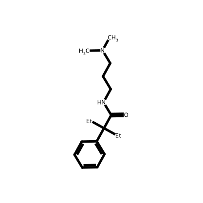 CCC(CC)(C(=O)NCCCN(C)C)c1ccccc1